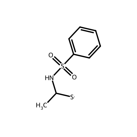 CC([S])NS(=O)(=O)c1ccccc1